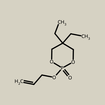 C=CCOP1(=O)OCC(CC)(CC)CO1